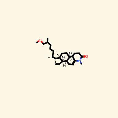 COCC(C)CCC[C@@H](C)[C@H]1CC[C@H]2[C@@H]3CC=C4N(C)C(=O)CC[C@]4(C)[C@H]3CC[C@]12C